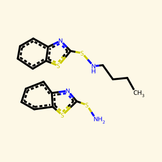 CCCCNSc1nc2ccccc2s1.NSc1nc2ccccc2s1